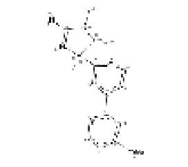 COc1cccc(-c2cccc([C@@]3(C)N=C(N)N(C)C3=O)c2)c1